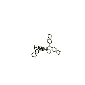 COc1ccc(C(CC2(NC[C@H](O)COc3ccccc3)CCCC2)c2ccc(OC)cc2)cc1